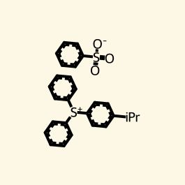 CC(C)c1ccc([S+](c2ccccc2)c2ccccc2)cc1.O=S(=O)([O-])c1ccccc1